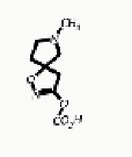 CN1CCC2(CC(OC(=O)O)=NO2)C1